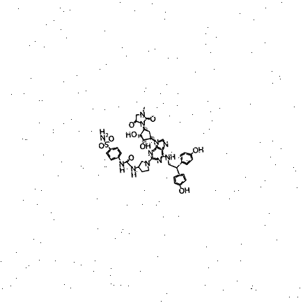 CN1CC(=O)N([C@H]2C[C@@H](n3cnc4c(NCC(c5ccc(O)cc5)c5ccc(O)cc5)nc(N5CCC(NC(=O)Nc6ccc(S(N)(=O)=O)cc6)C5)nc43)[C@H](O)[C@@H]2O)C1=O